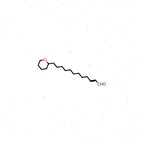 O=CC=CCCCCCCCCCC1CCCCO1